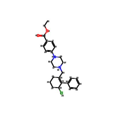 CCOC(=O)c1ccc(N2CCN(CC3=C(c4ccccc4)C(Cl)CCC3)CC2)cc1